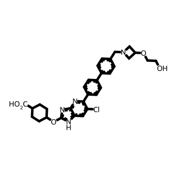 O=C(O)C1CCC(Oc2nc3nc(-c4ccc(-c5ccc(CN6CC(OCCO)C6)cc5)cc4)c(Cl)cc3[nH]2)CC1